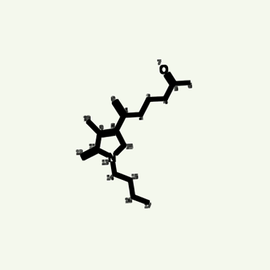 C=C(CCCC(C)=O)C1=C(C)C(=C)N(CCCC)C1